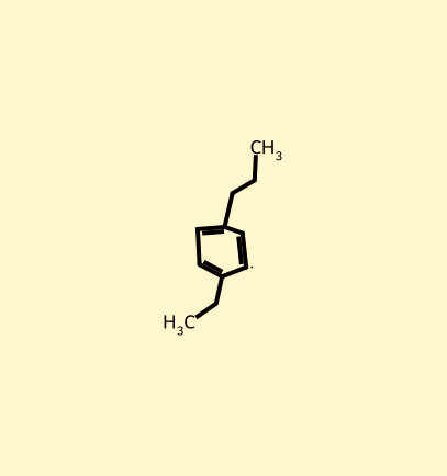 CCCc1c[c]c(CC)cc1